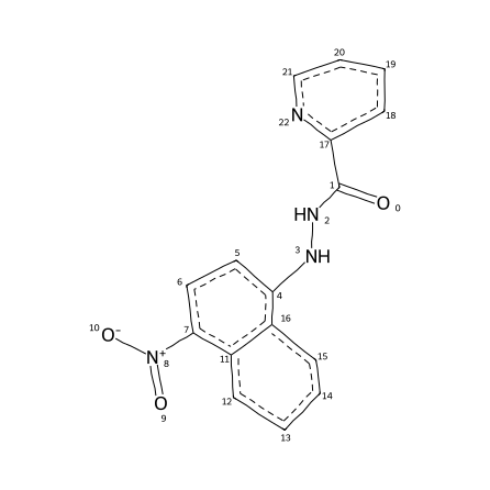 O=C(NNc1ccc([N+](=O)[O-])c2ccccc12)c1ccccn1